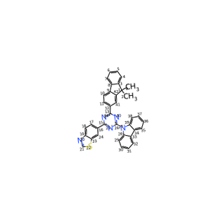 CC1(C)c2ccccc2-c2ccc(-c3nc(-c4ccc5ncsc5c4)nc(-n4c5ccccc5c5ccccc54)n3)cc21